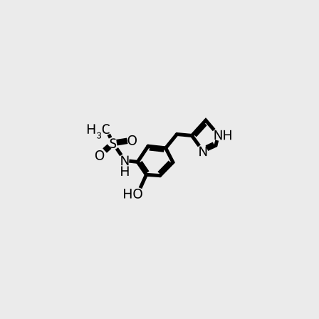 CS(=O)(=O)Nc1cc(Cc2c[nH]cn2)ccc1O